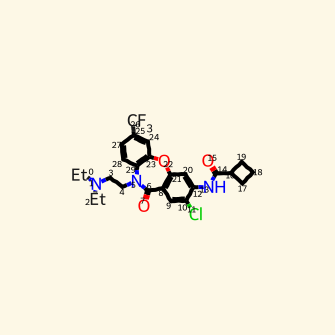 CCN(CC)CCN1C(=O)c2cc(Cl)c(NC(=O)C3CCC3)cc2Oc2cc(C(F)(F)F)ccc21